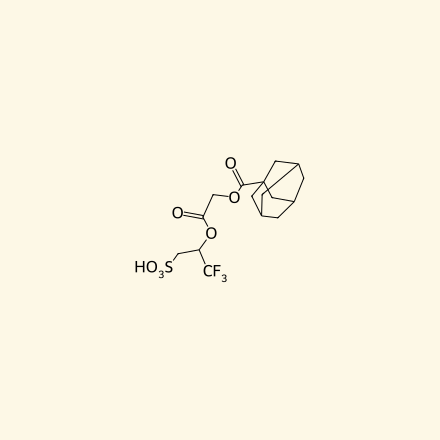 O=C(COC(=O)C12CC3CC(CC(C3)C1)C2)OC(CS(=O)(=O)O)C(F)(F)F